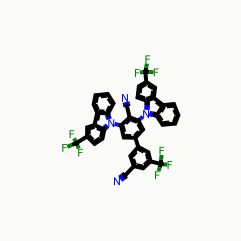 N#Cc1cc(-c2cc(-n3c4ccccc4c4cc(C(F)(F)F)ccc43)c(C#N)c(-n3c4ccccc4c4cc(C(F)(F)F)ccc43)c2)cc(C(F)(F)F)c1